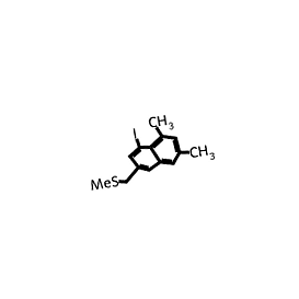 CSCc1cc(I)c2c(C)cc(C)cc2c1